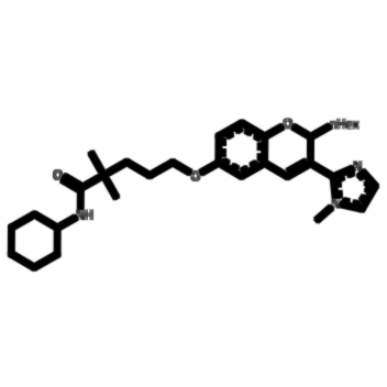 CCCCCCC1Oc2ccc(OCCCC(C)(C)C(=O)NC3CCCCC3)cc2C=C1c1nccn1C